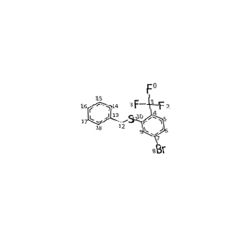 FC(F)(F)c1ccc(Br)cc1SCc1ccccc1